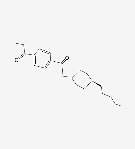 CCCCC[C@H]1CC[C@H](CC(=O)c2ccc(C(=O)CC)cc2)CC1